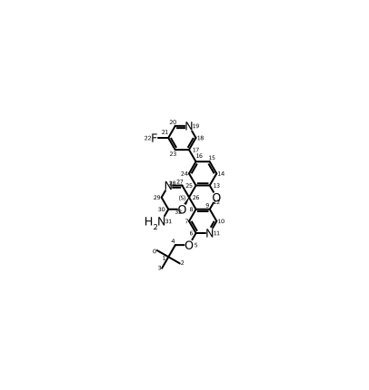 CC(C)(C)COc1cc2c(cn1)Oc1ccc(-c3cncc(F)c3)cc1[C@@]21C=NCC(N)O1